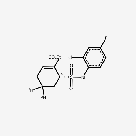 [2H]C1([2H])CC=C(C(=O)OCC)[C@H](S(=O)(=O)Nc2ccc(F)cc2Cl)C1